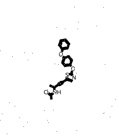 CC(=O)NC(C)C#Cc1cnc(Oc2ccc(Oc3ccccc3)cc2)s1